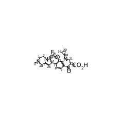 CN1CCn2cc(-c3ccc4c(c3OC(F)F)N(C3CC3)CC(C(=O)O)C4=O)cc2C1